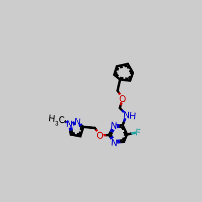 Cn1ccc(COc2ncc(F)c(NCOCc3ccccc3)n2)n1